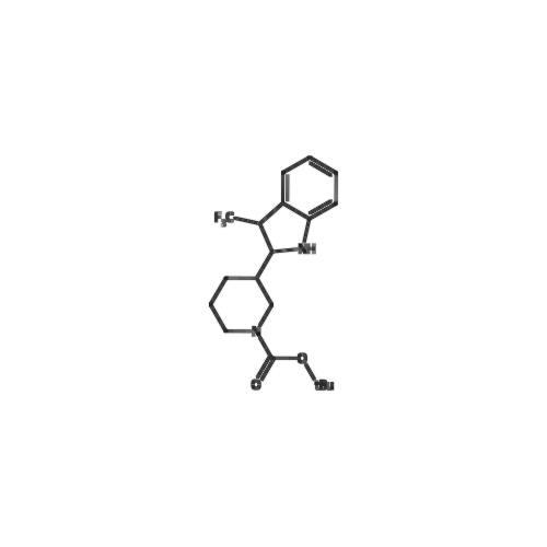 CC(C)(C)OC(=O)N1CCCC(C2Nc3ccccc3C2C(F)(F)F)C1